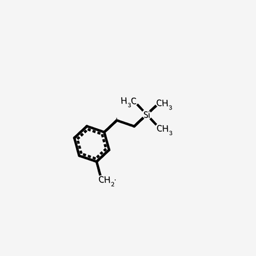 [CH2]c1cccc([CH]C[Si](C)(C)C)c1